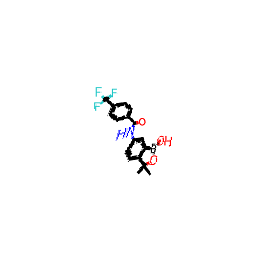 CC1(C)OB(O)c2cc(NC(=O)c3ccc(C(F)(F)F)cc3)ccc21